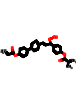 C=CC(=O)Oc1ccc(-c2ccc(/C=C/C(OO)c3ccc(OC(=O)C(=C)C)cc3)cc2)cc1